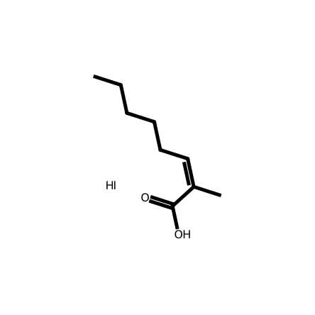 CCCCCC=C(C)C(=O)O.I